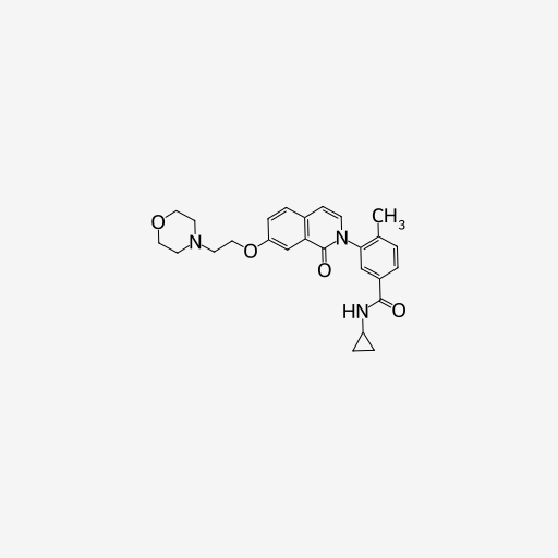 Cc1ccc(C(=O)NC2CC2)cc1-n1ccc2ccc(OCCN3CCOCC3)cc2c1=O